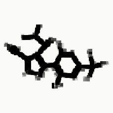 CC(C)C(=O)c1c(C#N)n[nH]c1-c1c(Cl)cc(C(F)(F)F)cc1Cl